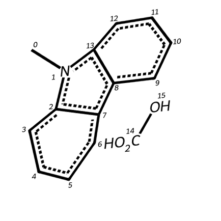 Cn1c2ccccc2c2ccccc21.O=C(O)O